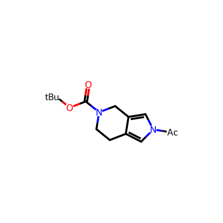 CC(=O)n1cc2c(c1)CN(C(=O)OC(C)(C)C)CC2